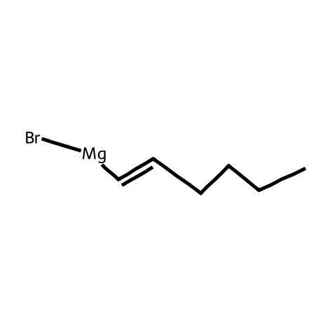 CCCCC=[CH][Mg][Br]